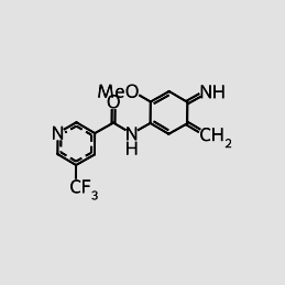 C=C1C=C(NC(=O)c2cncc(C(F)(F)F)c2)C(OC)=CC1=N